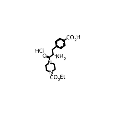 CCOC(=O)N1CCN(C(=O)[C@@H](N)Cc2ccc(C(=O)O)cc2)CC1.Cl